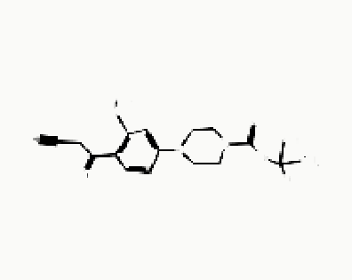 COc1cc(N2CCN(C(=O)OC(C)(C)C)CC2)ccc1C(=O)CC#N